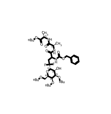 CCCCOC[C@H]1O[C@H](C(F)(F)CC(NC(=O)OCc2ccccc2)C(=O)N[C@@H](C)C(=O)N[C@@H](C)C(=O)OCCCC)[C@H](O)[C@@H](OCCCC)[C@H]1OCCCC